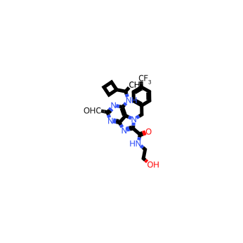 CC(Nc1nc(C=O)nc2nc(C(=O)NCCO)n(Cc3ccc(C(F)(F)F)cc3)c12)C1CCC1